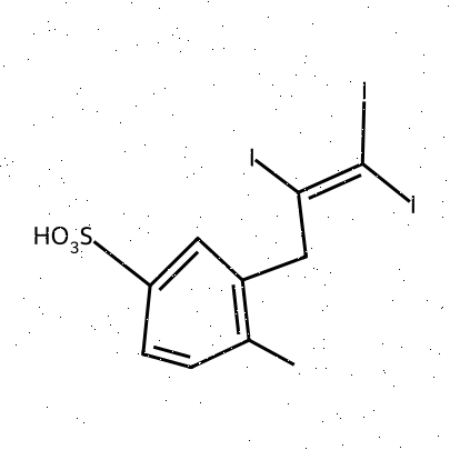 Cc1ccc(S(=O)(=O)O)cc1CC(I)=C(I)I